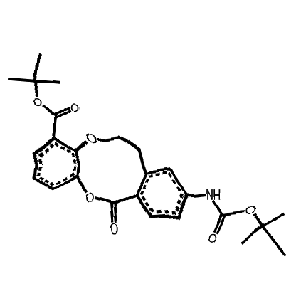 CC(C)(C)OC(=O)Nc1ccc2c(c1)CCOc1c(cccc1C(=O)OC(C)(C)C)OC2=O